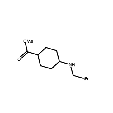 COC(=O)C1CCC(NCC(C)C)CC1